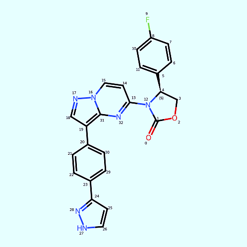 O=C1OC[C@H](c2ccc(F)cc2)N1c1ccn2ncc(-c3ccc(-c4cc[nH]n4)cc3)c2n1